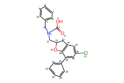 O=C(O)N(Cc1ccccc1)CC1Cc2cc(Cl)cc(-c3ccccc3)c2O1